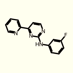 Fc1cccc(Nc2nccc(-c3ccccn3)n2)c1